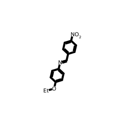 CCOc1ccc(/N=C/c2ccc([N+](=O)[O-])cc2)cc1